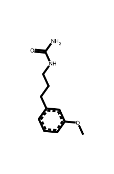 COc1cccc(CCCNC(N)=O)c1